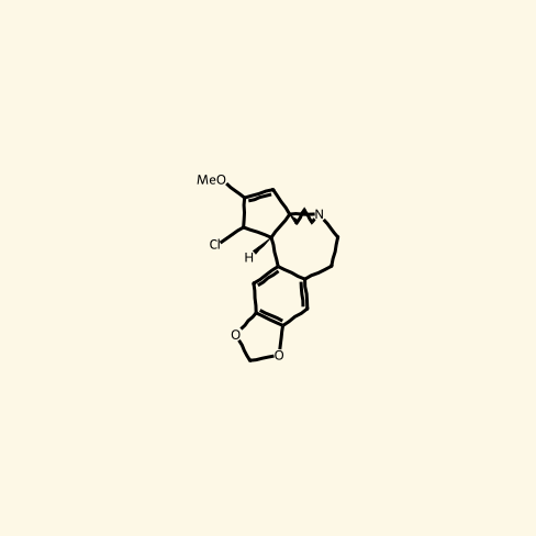 COC1=C[C@]23CCCN2CCc2cc4c(cc2[C@@H]3C1Cl)OCO4